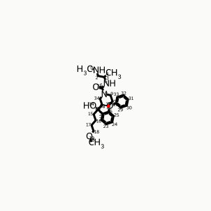 CNCC(C)NC(=O)N1CCC[C@@H]([C@@](O)(CCCCOC)c2ccccc2Oc2ccccc2)C1